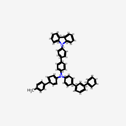 Cc1ccc(-c2ccc(N(c3ccc(-c4ccc(-n5c6ccccc6c6ccccc65)cc4)cc3)c3ccc(-c4cccc(-c5ccccc5)c4)cc3)cc2)cc1